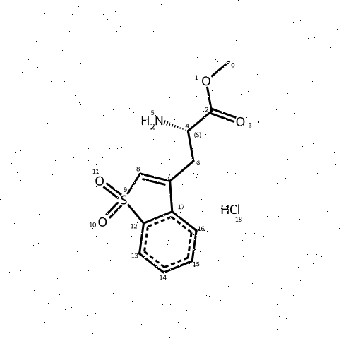 COC(=O)[C@@H](N)CC1=CS(=O)(=O)c2ccccc21.Cl